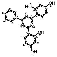 Oc1ccc(-c2nc(-c3ccccc3)nc(-c3ccc(O)cc3O)n2)c(O)c1